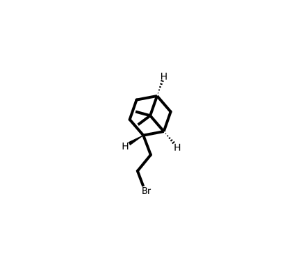 CC1(C)[C@H]2CC[C@@H](CCBr)[C@@H]1C2